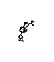 Nc1ccc(C(=O)N[C@H](CCC(=O)O)C(=O)O)cc1